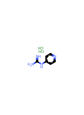 Cl.Cl.N=C(N)Nc1ccncc1